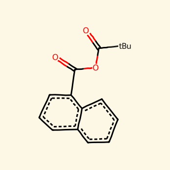 CC(C)(C)C(=O)OC(=O)c1cccc2ccccc12